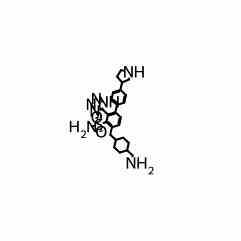 NCC1CCC(Cc2ccc(-c3ccc(C4CCNC4)cc3)c(-c3nnn[nH]3)c2S(N)(=O)=O)CC1